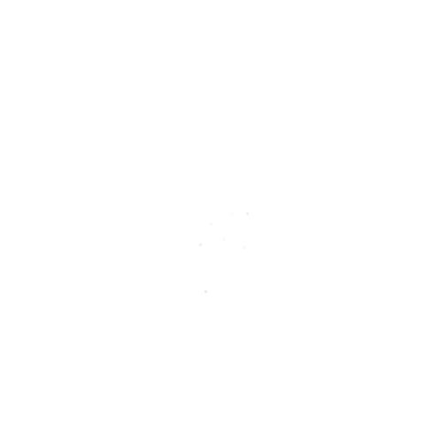 Cc1cc(=O)n(C(C)c2cccc(F)c2)[nH]1